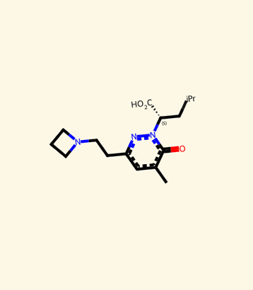 Cc1cc(CCN2CCC2)nn([C@@H](CC(C)C)C(=O)O)c1=O